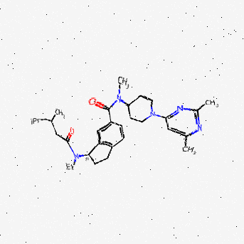 CCN(C(=O)CC(C)C(C)C)[C@@H]1CCc2ccc(C(=O)N(C)C3CCN(c4cc(C)nc(C)n4)CC3)cc21